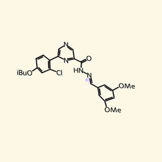 COc1cc(/C=N/NC(=O)c2cncc(-c3ccc(OCC(C)C)cc3Cl)n2)cc(OC)c1